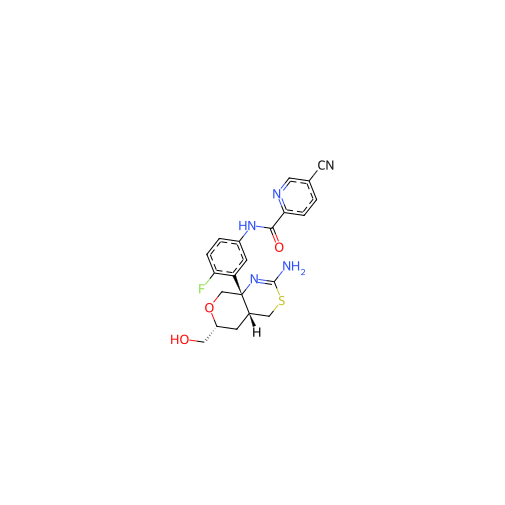 N#Cc1ccc(C(=O)Nc2ccc(F)c([C@]34CO[C@@H](CO)C[C@H]3CSC(N)=N4)c2)nc1